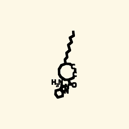 CCCCCCCCCC1CCCCCC(C(=O)n2nc3c(c2N)CCCC3)CCCCC1